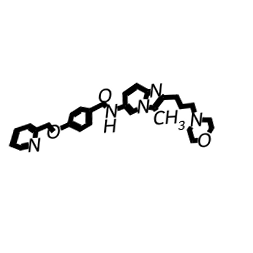 Cc1c(CCCN2CCOCC2)nc2ccc(NC(=O)c3ccc(OCc4ccccn4)cc3)cn12